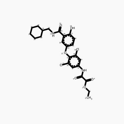 CCOC(=O)C(=O)Nc1cc(Cl)c(Oc2ccc(O)c(C(=O)NCC3CCCCC3)c2)c(Cl)c1